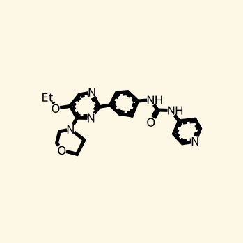 CCOc1cnc(-c2ccc(NC(=O)Nc3ccncc3)cc2)nc1N1CCOCC1